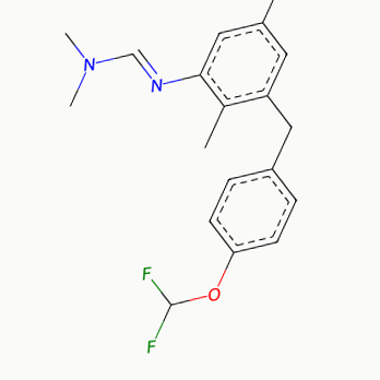 Cc1cc(Cc2ccc(OC(F)F)cc2)c(C)c(N=CN(C)C)c1